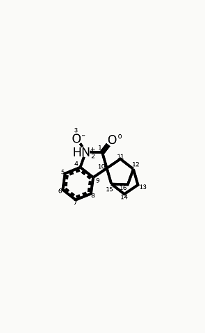 O=C1[NH+]([O-])c2ccccc2C12CC1CCC2C1